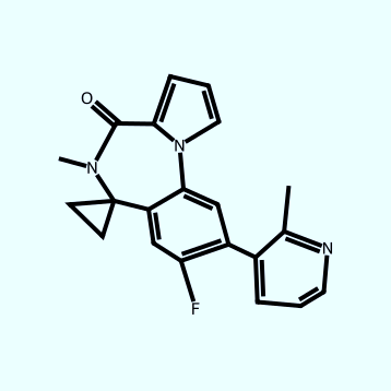 Cc1ncccc1-c1cc2c(cc1F)C1(CC1)N(C)C(=O)c1cccn1-2